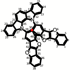 c1ccc2c(c1)oc1c3cc(-n4c5ccccc5c5ccc6c7ccccc7n(-c7ccc8oc9c%10ccccc%10oc9c8c7)c6c54)ccc3oc21